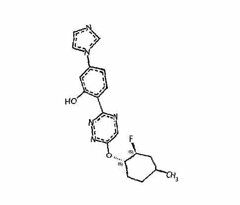 CC1CC[C@H](Oc2cnc(-c3ccc(-n4ccnc4)cc3O)nn2)[C@@H](F)C1